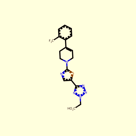 O=C(O)Cn1nnc(-c2cnc(N3CC=C(c4ccccc4C(F)(F)F)CC3)s2)n1